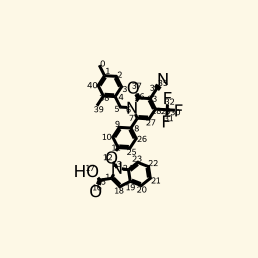 Cc1ccc(Cn2c(-c3ccc(On4c(C(=O)O)cc5ccccc54)cc3)cc(C(F)(F)F)c(C#N)c2=O)c(C)c1